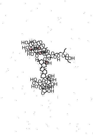 CC[C@H](O)CC(=O)O[C@@H](C[C@H](O)CC(=O)OC1C(C)OC(OC(=O)[C@]23CCC(C)(C)CC2C2=CCC4[C@@]5(C)CC[C@H](OC6OC(C(=O)O)C(O)C(OC7(O)COCC(O)C7O)C6OC6OC(CO)C(O)C(O)C6O)[C@@](C)(C=O)C5CC[C@@]4(C)[C@]2(C)C[C@H]3O)C(OC2OC(C)C(OC3OCC(O)C(OC4OCC(O)C(O)C4O)C3O)C(OC3OC(CO)C(O)C(O)C3O)C2O)C1O)[C@@H](C)CC